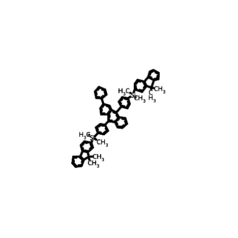 CC1(C)c2ccccc2-c2ccc([Si](C)(C)c3ccc(-c4c5ccccc5c(-c5ccc([Si](C)(C)c6ccc7c(c6)C(C)(C)c6ccccc6-7)cc5)c5cc(-c6ccccc6)ccc45)cc3)cc21